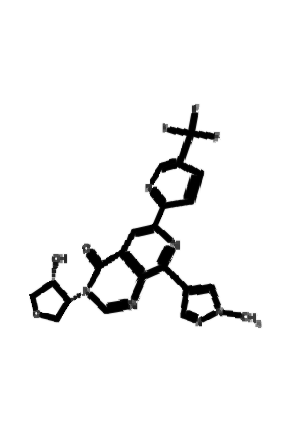 Cn1cc(-c2nc(-c3ccc(C(F)(F)F)cn3)cc3c(=O)n([C@@H]4COC[C@@H]4O)cnc23)cn1